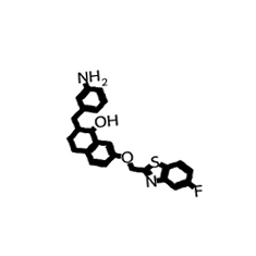 Nc1cccc(CC2CCc3ccc(OCc4nc5cc(F)ccc5s4)cc3C2O)c1